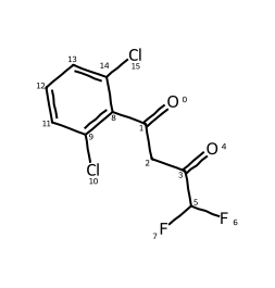 O=C(CC(=O)C(F)F)c1c(Cl)cccc1Cl